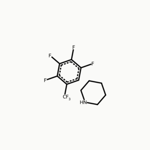 C1CCNCC1.Fc1cc(C(F)(F)F)c(F)c(F)c1F